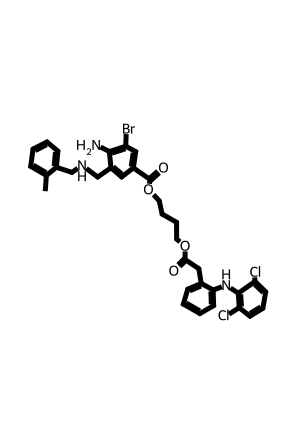 Cc1ccccc1CNCc1cc(C(=O)OCCCCOC(=O)Cc2ccccc2Nc2c(Cl)cccc2Cl)cc(Br)c1N